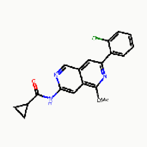 COc1nc(-c2ccccc2Cl)cc2cnc(NC(=O)C3CC3)cc12